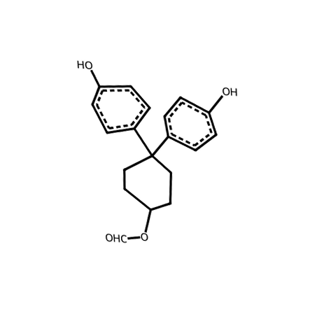 O=COC1CCC(c2ccc(O)cc2)(c2ccc(O)cc2)CC1